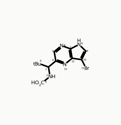 CC(C)(C)C(NC(=O)O)c1cnc2[nH]cc(Br)c2n1